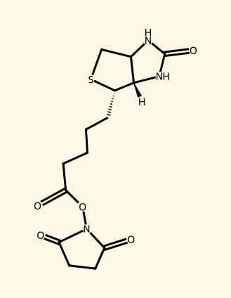 O=C1NC2CS[C@@H](CCCCC(=O)ON3C(=O)CCC3=O)[C@H]2N1